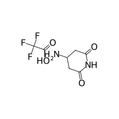 NC1CC(=O)NC(=O)C1.O=C(O)C(F)(F)F